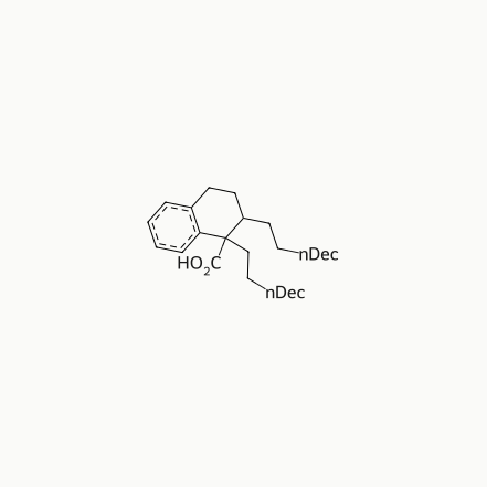 CCCCCCCCCCCCC1CCc2ccccc2C1(CCCCCCCCCCCC)C(=O)O